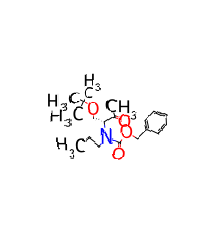 CCCN(C(=O)OCc1ccccc1)[C@H](COC(C)(C)C)C(C)=O